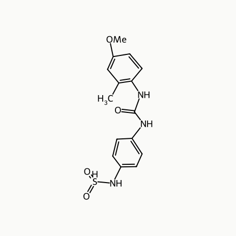 COc1ccc(NC(=O)Nc2ccc(N[SH](=O)=O)cc2)c(C)c1